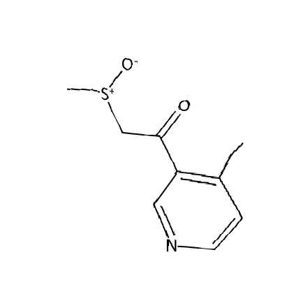 Cc1ccncc1C(=O)C[S+](C)[O-]